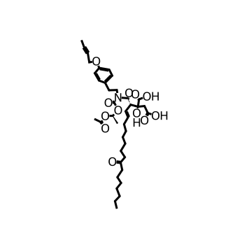 CC#CCOc1ccc(CCN(C(=O)O[C@@H](C)OC(C)=O)C(=O)[C@@H](/C=C/CCCCCCC(=O)CCCCCCC)[C@@](O)(CC(=O)O)C(=O)O)cc1